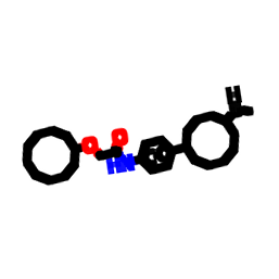 CBC1CCCCCC(C23CCC(NC(=O)COC4CCCCCCCCC4)(CC2)CC3)CCC1